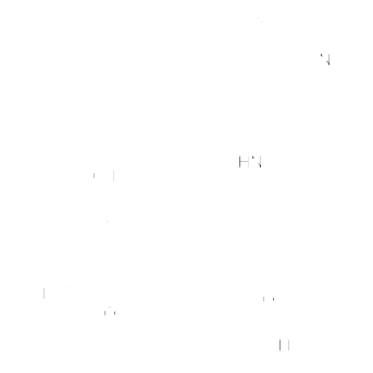 COc1cc(OC)c(OC)cc1CNCc1cs[c]n1